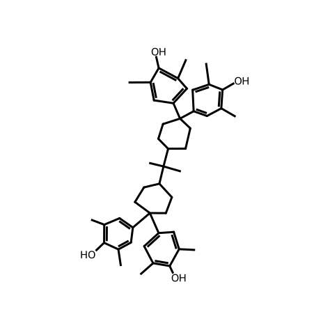 Cc1cc(C2(c3cc(C)c(O)c(C)c3)CCC(C(C)(C)C3CCC(c4cc(C)c(O)c(C)c4)(c4cc(C)c(O)c(C)c4)CC3)CC2)cc(C)c1O